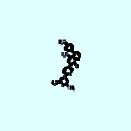 Cc1cn(-c2ccc(N3CC(C)OC(C)C3)nc2)c(=O)c2cccc(-c3ccc(C(F)(F)F)cc3)c12